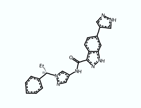 CC[C@@H](c1ccccc1)n1cc(NC(=O)c2n[nH]c3cc(-c4cn[nH]c4)ccc23)cn1